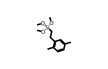 CO[Si](CCc1cc(C)ccc1C)(OC)OC